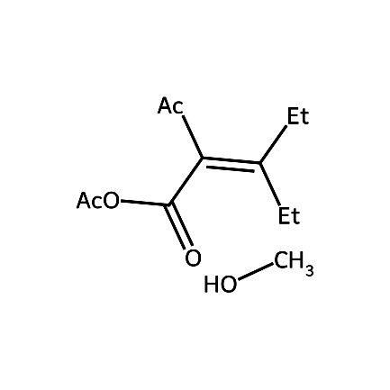 CCC(CC)=C(C(C)=O)C(=O)OC(C)=O.CO